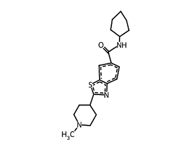 CN1CCC(c2nc3ccc(C(=O)NC4CCCCC4)cc3s2)CC1